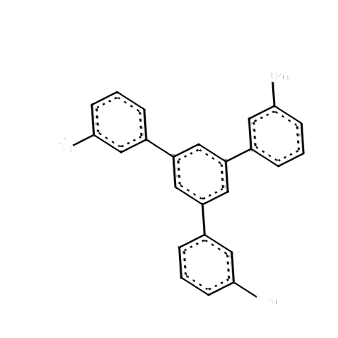 CC(C)(C)c1cccc(-c2cc(-c3cccc(C(C)(C)C)c3)cc(-c3cccc(C(C)(C)C)c3)c2)c1